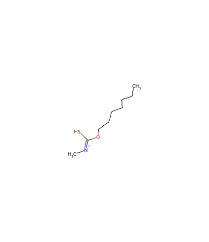 CCCCCCCO/C(S)=N/C